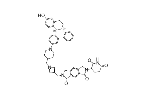 O=C1CCC(N2Cc3cc4c(cc3C2=O)C(=O)N(CC2CN(CC3CCN(c5ccc([C@@H]6c7ccc(O)cc7CC[C@@H]6c6ccccc6)cc5)CC3)C2)C4)C(=O)N1